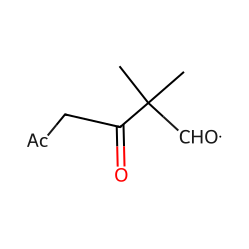 CC(=O)CC(=O)C(C)(C)[C]=O